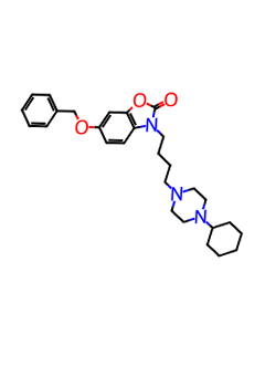 O=c1oc2cc(OCc3ccccc3)ccc2n1CCCCN1CCN(C2CCCCC2)CC1